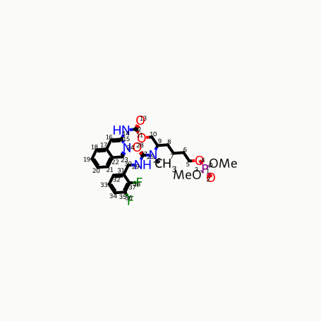 COP(=O)(OC)OCCCCC(COC(=O)Nc1cc2ccccc2cn1)N(C)C(=O)NCc1cccc(F)c1F